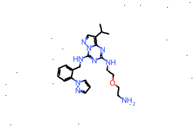 CC(C)c1cnn2c(NCc3ccccc3-n3cccn3)nc(NCCOCCN)nc12